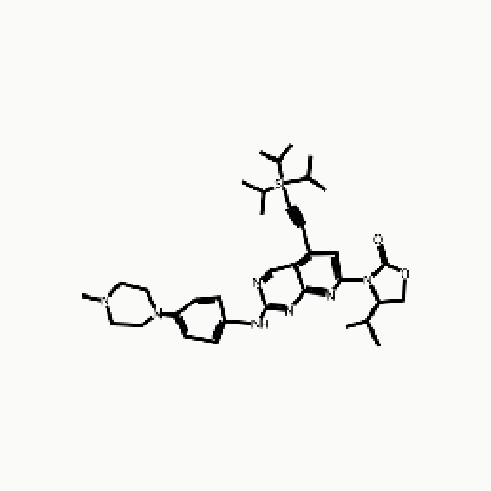 CC(C)C1COC(=O)N1c1cc(C#C[Si](C(C)C)(C(C)C)C(C)C)c2cnc(Nc3ccc(N4CCN(C)CC4)cc3)nc2n1